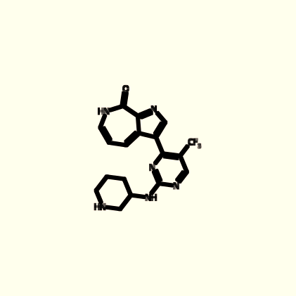 O=c1[nH]cccc2c(-c3nc(NC4CCCNC4)ncc3C(F)(F)F)cnc1-2